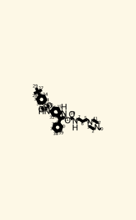 CN1CCN(CCCNC(=O)Oc2[nH]c3ccc(NS(=O)(=O)c4ccc(C(C)(C)C)cc4)cc3c2-c2ccccc2)CC1